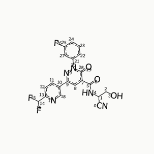 N#CC(CO)NC(=O)c1cc(-c2ccc(C(F)F)nc2)nn(-c2cccc(F)c2)c1=O